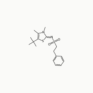 Cc1c(C(C)(C)C)s/c(=N\S(=O)(=O)CCc2ccccc2)n1C